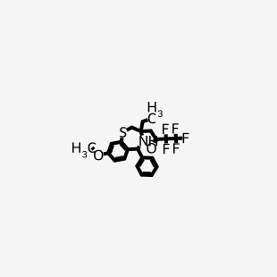 CCC1(CC(=O)C(F)(F)C(F)(F)F)CSc2cc(OC)ccc2C(c2ccccc2)N1